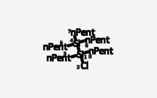 CCCCC[Si](Cl)(CCCCC)[Si](CCCCC)(CCCCC)CCCCC